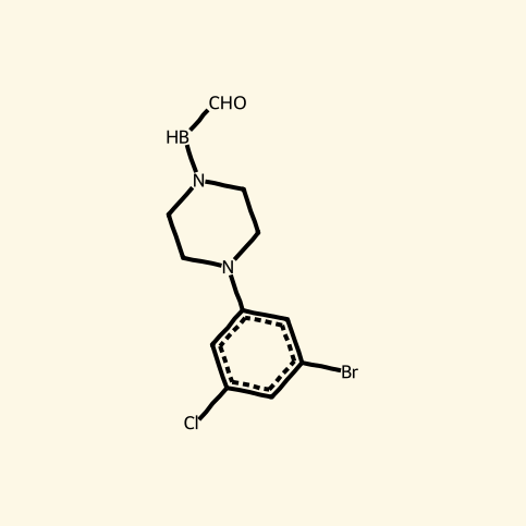 O=CBN1CCN(c2cc(Cl)cc(Br)c2)CC1